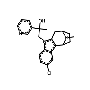 CN1C2CCC1c1c(n(CC(C)(O)c3cccnc3)c3ccc(Cl)cc13)C2